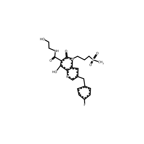 CS(=O)(=O)CCCn1c(=O)c(C(=O)NCCO)c(O)c2ncc(Cc3ccc(F)cc3)cc21